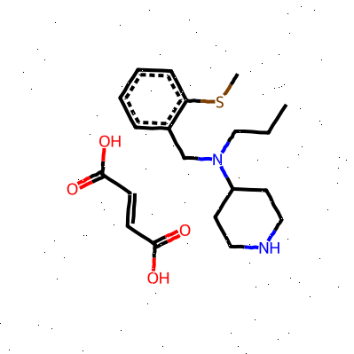 CCCN(Cc1ccccc1SC)C1CCNCC1.O=C(O)/C=C/C(=O)O